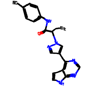 CCC(C(=O)Nc1ccc(C#N)cc1)n1cc(-c2ncnc3[nH]ccc23)cn1